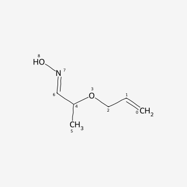 C=CCOC(C)/C=N/O